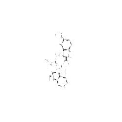 CN(Cc1nc2ccccc2[nH]1)C(=O)Cn1c(=O)oc2ccc(Cl)cc21